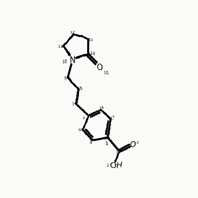 O=C(O)c1ccc(CCCN2CCCC2=O)cc1